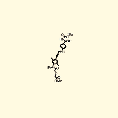 COC(=O)COCC(=O)N(c1cc(C)c(C#CCNc2ccc(C(=N)NC(=O)OC(C)(C)C)cc2)cc1C)C(C)C